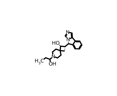 CCC(O)N1CCC2(CC1)C[C@@H]([C@H]1c3ccccc3-c3cncn31)[C@H]2O